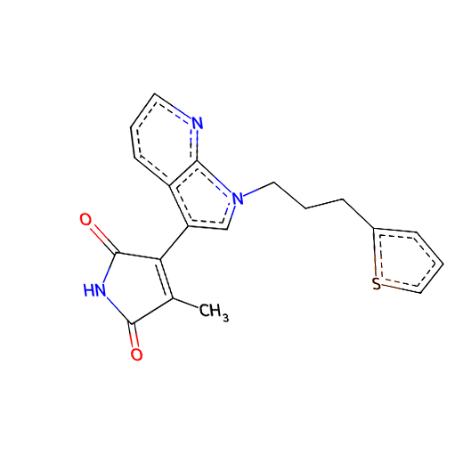 CC1=C(c2cn(CCCc3cccs3)c3ncccc23)C(=O)NC1=O